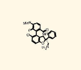 CNc1ccc(C(N)=O)c(-c2c(Cl)ccc3c2C[C@@](CN)(c2ccccc2)O3)c1F